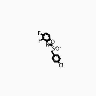 [O-][S+](Cc1ccc(Cl)cc1)c1nc2c(F)c(F)ccc2o1